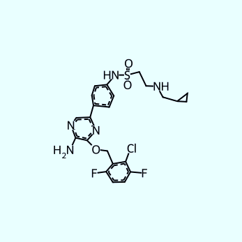 Nc1ncc(-c2ccc(NS(=O)(=O)CCNCC3CC3)cc2)nc1OCc1c(F)ccc(F)c1Cl